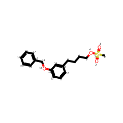 CS(=O)(=O)OCCCCc1cccc(OCc2ccccc2)c1